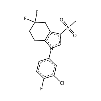 CS(=O)(=O)c1cn(-c2ccc(F)c(Cl)c2)c2c1CC(F)(F)CC2